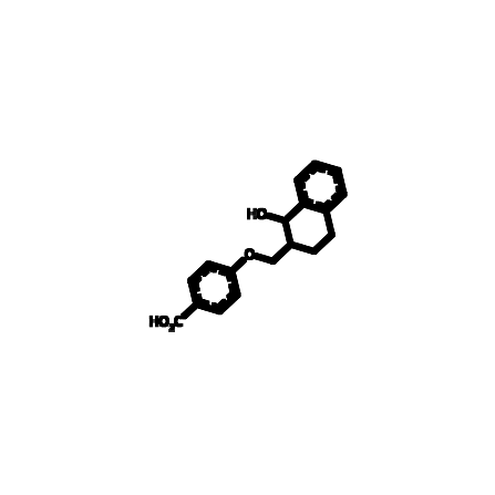 O=C(O)c1ccc(OCC2CCc3ccccc3C2O)cc1